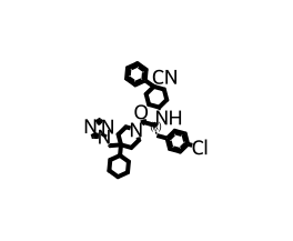 N#C[C@]1(c2ccccc2)CC[C@@H](N[C@H](Cc2ccc(Cl)cc2)C(=O)N2CCC(Cn3cncn3)(C3CCCCC3)CC2)CC1